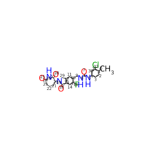 Cc1ccc(NC(=O)NCc2cc3c(cc2F)C(=O)N([C@H]2CCCC(=O)NC2=O)C3)cc1Cl